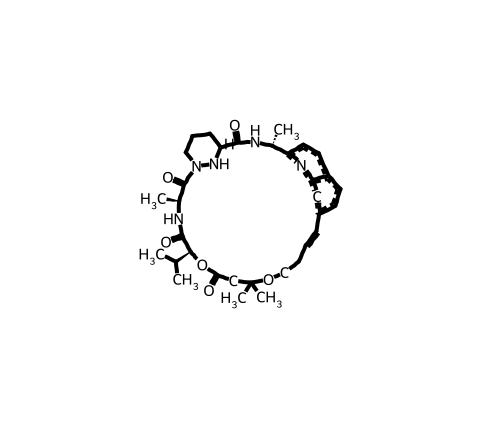 CC(C)[C@@H]1OC(=O)CC(C)(C)OCC/C=C/c2ccc3ccc(nc3c2)[C@@H](C)NC(=O)[C@@H]2CCCN(N2)C(=O)[C@H](C)NC1=O